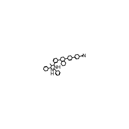 CC1C(C2=CC(C3CCC(C4C=CC(C5=CCC(C#N)CC5)CC4)C4=C3CCCC4)CC=C2)NC(C2C=CC=CC2)NC1C1C=CCCC1